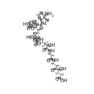 CC(C)(COP(=O)(O)OP(=O)(O)OCC1OC(n2cnc3c(N)ncnc32)C(O)C1OP(=O)(O)O)C(O)C(=O)NCCC(=O)NCCC(=O)C(O)CCC(=O)O